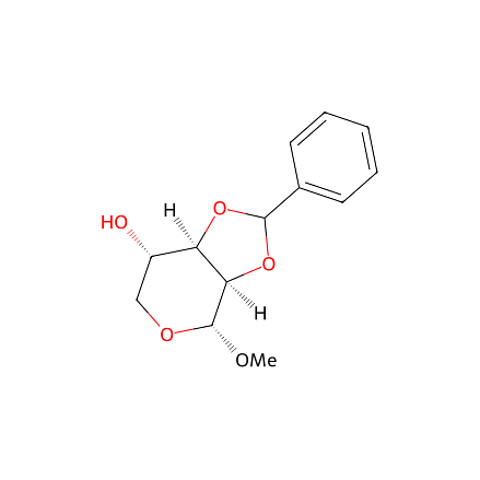 CO[C@@H]1OC[C@H](O)[C@H]2OC(c3ccccc3)O[C@@H]12